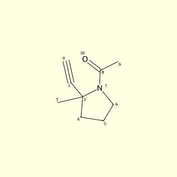 C#CC1(C)CCCN1C(C)=O